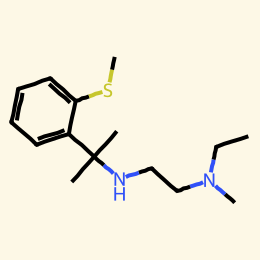 CCN(C)CCNC(C)(C)c1ccccc1SC